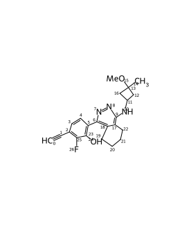 C#Cc1ccc(-c2nnc(NC3CC(C)(OC)C3)c3c2CCCC3)c(O)c1F